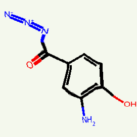 [N-]=[N+]=NC(=O)c1ccc(O)c(N)c1